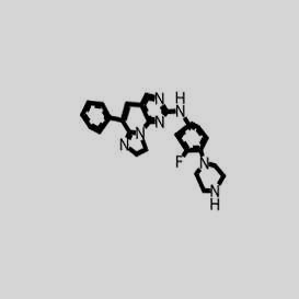 Fc1cc(Nc2ncc3c(n2)N2CCN=C2C(c2ccccc2)=C3)ccc1N1CCNCC1